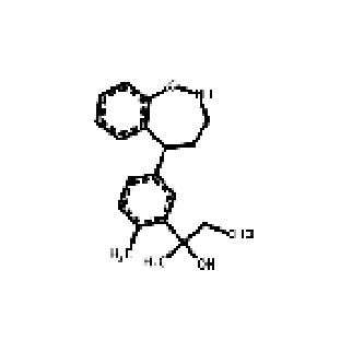 Cc1ccc(C2CCNOc3ccccc32)cc1C(C)(O)CC=O